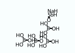 OB(O)O.OB(O)O.OB(O)O.OB(O)O.[NaH].[O]=[SbH]